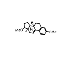 COc1ccc2c(c1)CC[C@@H]1C2=CC[C@]2(C)[C@@H](OC)CC[C@@H]12